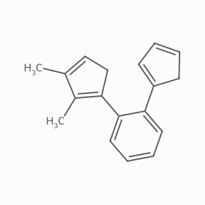 CC1=CCC(c2ccccc2C2=CC=CC2)=C1C